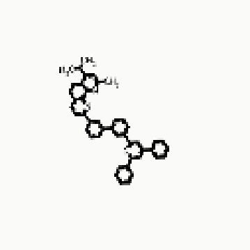 Cc1cc(C(C)C)c2ccc3ccc(-c4cccc(-c5cccc(-c6cc(-c7ccccc7)cc(-c7ccccc7)n6)c5)c4)nc3c2n1